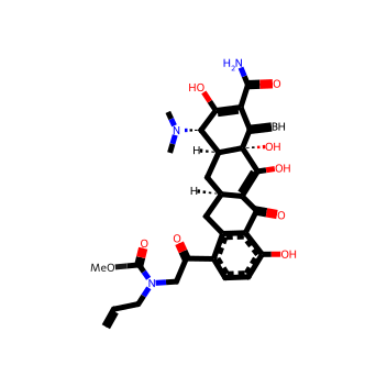 B=C1C(C(N)=O)=C(O)[C@@H](N(C)C)[C@@H]2C[C@@H]3Cc4c(C(=O)CN(CC=C)C(=O)OC)ccc(O)c4C(=O)C3=C(O)[C@]12O